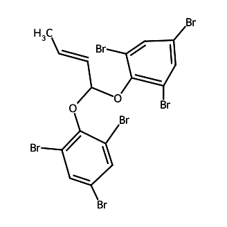 CC=CC(Oc1c(Br)cc(Br)cc1Br)Oc1c(Br)cc(Br)cc1Br